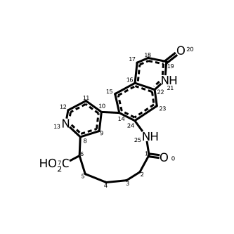 O=C1CCCCC(C(=O)O)c2cc(ccn2)-c2cc3ccc(=O)[nH]c3cc2N1